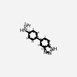 CCCNc1ccc(-c2ccc3[nH]nnc3c2)cc1